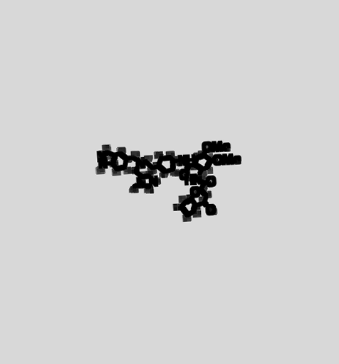 COc1cc(NC(=O)c2cc(=O)c3ccccc3o2)c(C(=O)Nc2ccc(CCN(Cc3ccc4c(cnn4C)c3)Cc3cncn3C)cc2)cc1OC